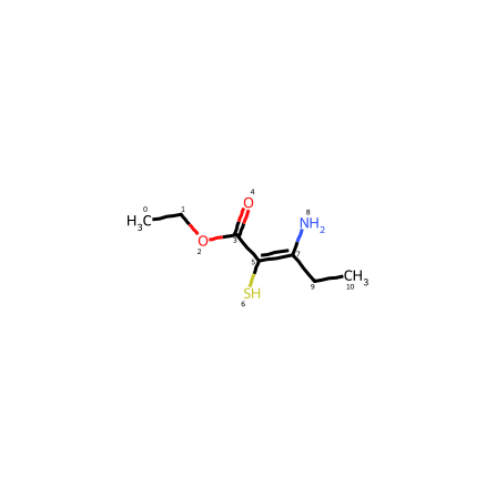 CCOC(=O)C(S)=C(N)CC